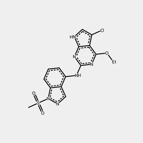 CCOc1nc(Nc2cccc3c2cnn3S(C)(=O)=O)nc2[nH]cc(Cl)c12